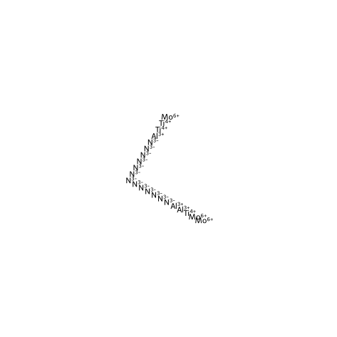 [Al+3].[Al+3].[Al+3].[Mo+6].[Mo+6].[Mo+6].[N-3].[N-3].[N-3].[N-3].[N-3].[N-3].[N-3].[N-3].[N-3].[N-3].[N-3].[N-3].[N-3].[Ti+4].[Ti+4].[Ti+4]